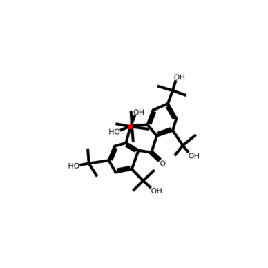 CC(C)(O)c1cc(C(C)(C)O)c(C(=O)c2c(C(C)(C)O)cc(C(C)(C)O)cc2C(C)(C)O)c(C(C)(C)O)c1